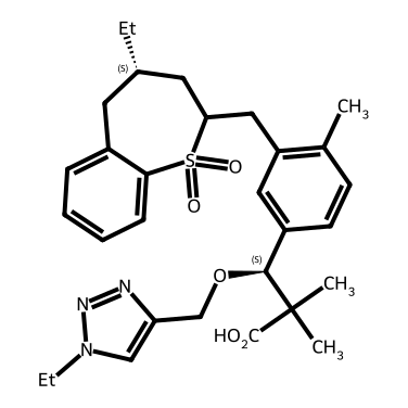 CC[C@H]1Cc2ccccc2S(=O)(=O)C(Cc2cc([C@H](OCc3cn(CC)nn3)C(C)(C)C(=O)O)ccc2C)C1